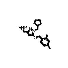 CNCc1cc(OCc2ccc(C)cc2C)n(CC2CCCC2)n1